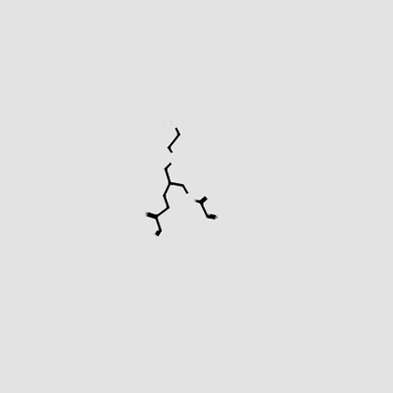 C=CC(=O)CCC(COCCC(C)C)COC(=O)C=C